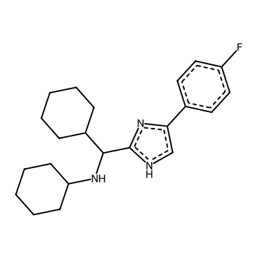 Fc1ccc(-c2c[nH]c(C(NC3CCCCC3)C3CCCCC3)n2)cc1